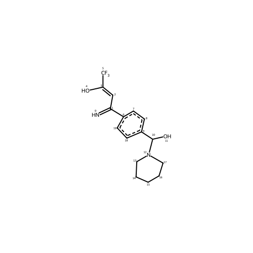 N=C(/C=C(\O)C(F)(F)F)c1ccc(C(O)N2CCCCC2)cc1